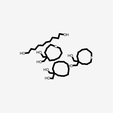 OCC1(CO)CCCCCCCCC1.OCC1(CO)CCCCCCCCC1.OCC1(CO)CCCCCCCCC1.OCCCCCCCCCCO